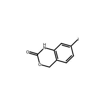 O=C1Nc2cc(I)ccc2CO1